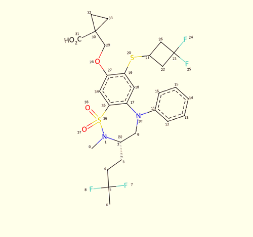 CN1[C@@H](CCC(C)(F)F)CN(c2ccccc2)c2cc(SC3CC(F)(F)C3)c(OCC3(C(=O)O)CC3)cc2S1(=O)=O